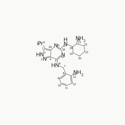 CC(C)c1[nH]nc2c(NCc3ccccc3N)nc(NC3CCCCC3N)nc12